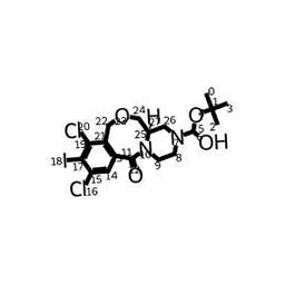 CC(C)(C)OC(O)N1CCN2C(=O)c3cc(Cl)c(I)c(Cl)c3COC[C@H]2C1